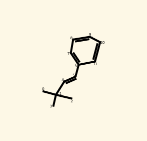 CC(C)(C)C=Cc1cc[c]cc1